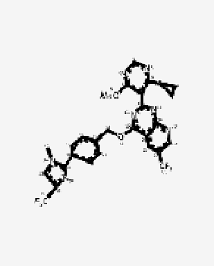 COc1ncnc(C2CC2)c1-c1nc(OCc2ccc(-c3nc(C(F)(F)F)cn3C)cc2)c2cc(C(F)(F)F)cnc2n1